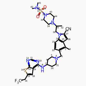 Cc1c(CN2CCC(Nc3ncnc4sc(CC(F)(F)F)cc34)CC2)ccc2c1cc(C#N)n2CC(C)N1CCN(S(=O)(=O)N(C)C)CC1